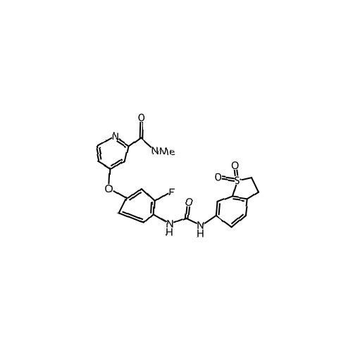 CNC(=O)c1cc(Oc2ccc(NC(=O)Nc3ccc4c(c3)S(=O)(=O)CC4)c(F)c2)ccn1